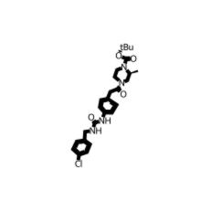 C[C@H]1CN(C(=O)Cc2ccc(NC(=O)NCc3ccc(Cl)cc3)cc2)CCN1C(=O)OC(C)(C)C